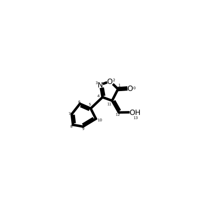 O=C1ON=C(c2ccccc2)C1=CO